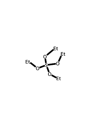 CCOS(OCC)(OCC)OCC